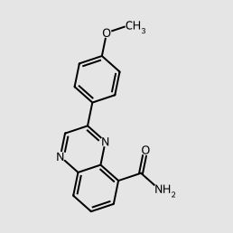 COc1ccc(-c2cnc3cccc(C(N)=O)c3n2)cc1